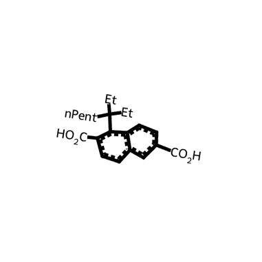 CCCCCC(CC)(CC)c1c(C(=O)O)ccc2cc(C(=O)O)ccc12